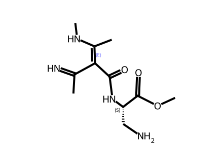 CN/C(C)=C(\C(C)=N)C(=O)N[C@@H](CN)C(=O)OC